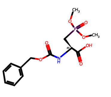 COP(=O)(C[C@H](NC(=O)OCc1ccccc1)C(=O)O)OC